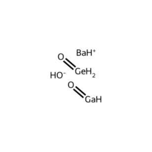 [BaH+].[OH-].[O]=[GaH].[O]=[GeH2]